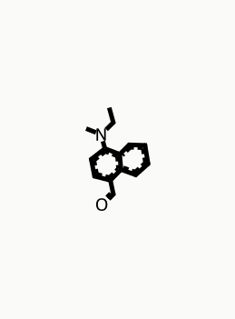 CCN(C)c1ccc(C=O)c2ccccc12